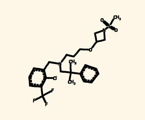 CC(C)(CN(CCCOC1CN(S(C)(=O)=O)C1)Cc1cccc(C(F)(F)F)c1Cl)c1ccccc1